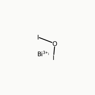 IOI.[Bi+3]